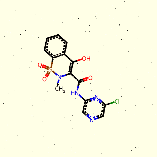 CN1C(C(=O)Nc2cncc(Cl)n2)=C(O)c2ccccc2S1(=O)=O